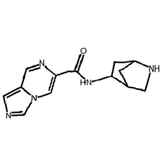 O=C(NC1CC2CC1CN2)c1cn2cncc2cn1